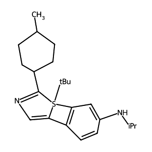 CC1CCC(C2=NC=C3c4ccc(NC(C)C)cc4S32C(C)(C)C)CC1